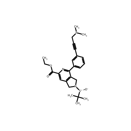 CCOC(=O)c1cc2c(c(-c3cccc(C#CCN(C)C)c3)n1)CN([S@+]([O-])C(C)(C)C)C2